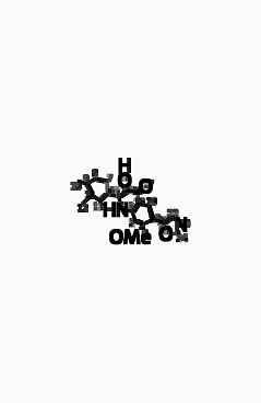 COc1cc2[nH]c(-c3ccc(C)c(C)c3)c(O)c(=O)c2cc1-c1cnco1